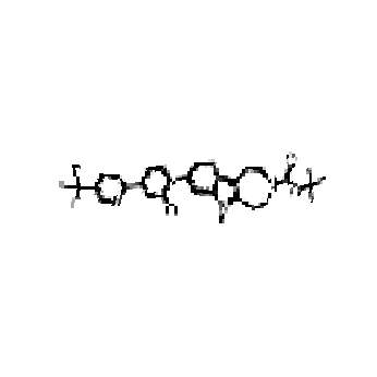 Cn1c2c(c3ccc(-n4ccc(-c5ccc(C(F)(F)F)cn5)cc4=O)cc31)CCN(C(=O)OC(C)(C)C)CC2